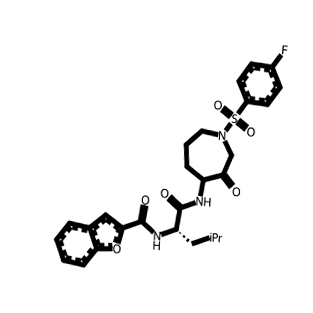 CC(C)C[C@H](NC(=O)c1cc2ccccc2o1)C(=O)NC1CCCN(S(=O)(=O)c2ccc(F)cc2)CC1=O